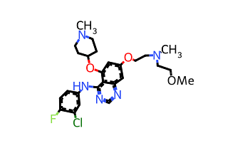 COCCN(C)CCOc1cc(OC2CCN(C)CC2)c2c(Nc3ccc(F)c(Cl)c3)ncnc2c1